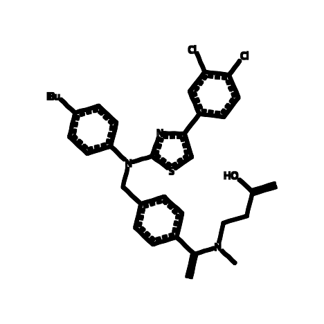 C=C(O)CCN(C)C(=C)c1ccc(CN(c2ccc(C(C)CC)cc2)c2nc(-c3ccc(Cl)c(Cl)c3)cs2)cc1